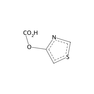 O=C(O)Oc1cscn1